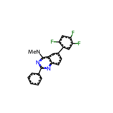 CNc1nc(-c2ccccc2)nc2ccc(-c3cc(F)c(F)cc3F)cc12